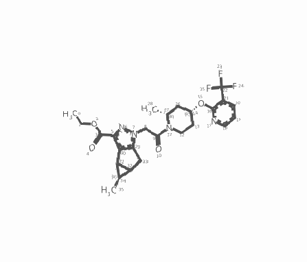 CCOC(=O)c1nn(CC(=O)N2CC[C@@H](Oc3ncccc3C(F)(F)F)C[C@H]2C)c2c1C1C(C2)[C@H]1C